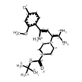 COc1cc(Cl)ccc1/C(N)=C/C(=C(N)N)N1CCN(C(=O)OC(C)(C)C)CC1